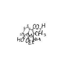 CCNn1c(C)c(C(=O)O)c2cccc(O)c2c1=O